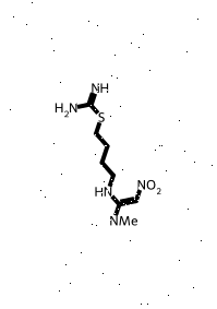 CNC(=C[N+](=O)[O-])NCCCCSC(=N)N